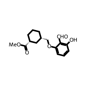 COC(=O)[C@@H]1CCC[C@H](COc2cccc(O)c2C=O)C1